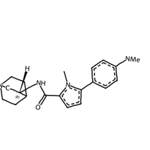 CNc1ccc(-c2ccc(C(=O)N[C@H]3CN4CCC3CC4)n2C)cc1